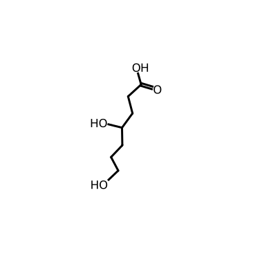 O=C(O)CCC(O)CCCO